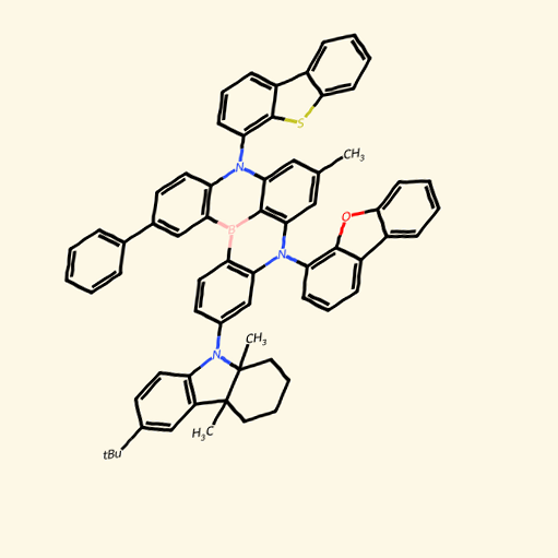 Cc1cc2c3c(c1)N(c1cccc4c1sc1ccccc14)c1ccc(-c4ccccc4)cc1B3c1ccc(N3c4ccc(C(C)(C)C)cc4C4(C)CCCCC34C)cc1N2c1cccc2c1oc1ccccc12